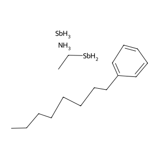 CCCCCCCCc1ccccc1.C[CH2][SbH2].N.[SbH3]